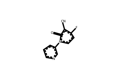 N#Cc1c(F)ccn(-c2cccnc2)c1=O